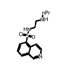 CCCNCCNS(=O)(=O)c1cccc2cnccc12